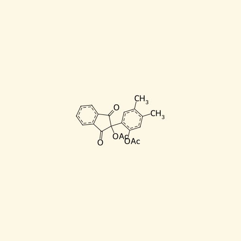 CC(=O)Oc1cc(C)c(C)cc1C1(OC(C)=O)C(=O)c2ccccc2C1=O